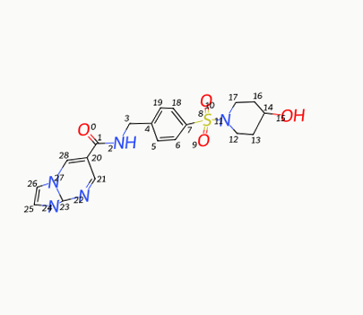 O=C(NCc1ccc(S(=O)(=O)N2CCC(O)CC2)cc1)c1cnc2nccn2c1